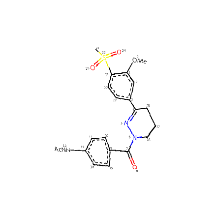 COc1cc(C2=NN(C(=O)c3ccc(NC(C)=O)cc3)CCC2)ccc1S(C)(=O)=O